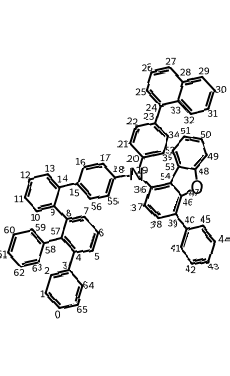 c1ccc(-c2cccc(-c3ccccc3-c3ccc(N(c4ccc(-c5cccc6ccccc56)cc4)c4ccc(-c5ccccc5)c5oc6ccccc6c45)cc3)c2-c2ccccc2)cc1